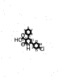 O=C(O)c1c(-c2ccccc2)cc(-c2ccc(Cl)cc2)[nH]c1=O